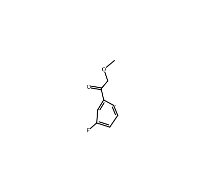 COCC(=O)c1[c]ccc(F)c1